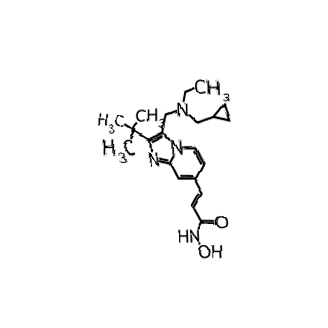 CCN(Cc1c(C(C)(C)C)nc2cc(C=CC(=O)NO)ccn12)CC1CC1